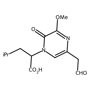 COc1nc(CC=O)cn(C(CC(C)C)C(=O)O)c1=O